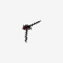 CCCCCCCCCCCCCC(=O)C(O)C(O)(C(=O)CCCCCCCCCCCCC)C(O)[Si](C)(C)C(C)(C)C